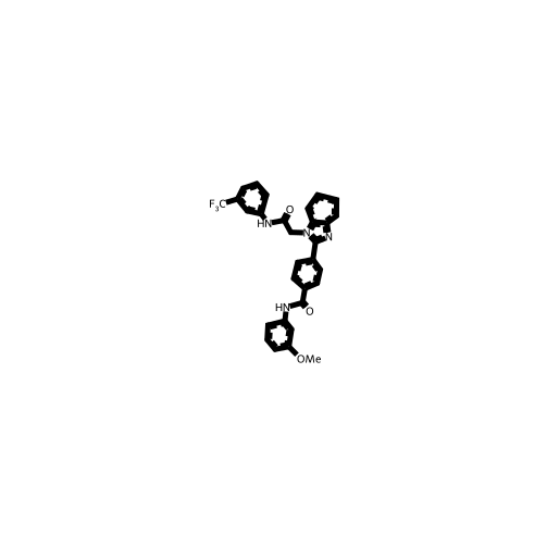 COc1cccc(NC(=O)c2ccc(-c3nc4ccccc4n3CC(=O)Nc3cccc(C(F)(F)F)c3)cc2)c1